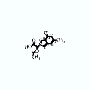 CCOC(C(=O)O)N1C=C2C=C(C)CC(=O)C2C1